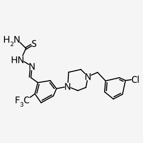 NC(=S)NN=Cc1cc(N2CCN(Cc3cccc(Cl)c3)CC2)ccc1C(F)(F)F